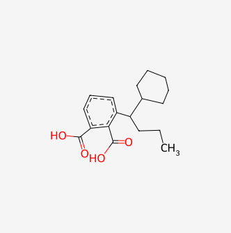 CCCC(c1cccc(C(=O)O)c1C(=O)O)C1CCCCC1